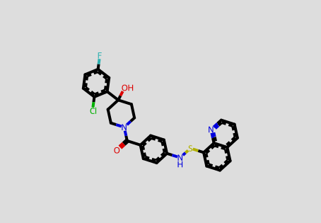 O=C(c1ccc(NSc2cccc3cccnc23)cc1)N1CCC(O)(c2cc(F)ccc2Cl)CC1